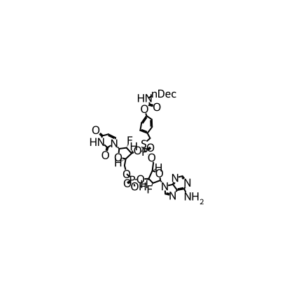 CCCCCCCCCCNC(=O)Oc1ccc(CSP2(=O)OC[C@H]3O[C@@H](n4cnc5c(N)ncnc54)[C@H](F)[C@@H]3OP(=O)(O)OC[C@H]3O[C@@H](n4ccc(=O)[nH]c4=O)[C@H](F)[C@@H]3O2)cc1